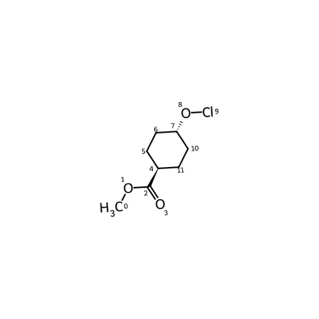 COC(=O)[C@H]1CC[C@H](OCl)CC1